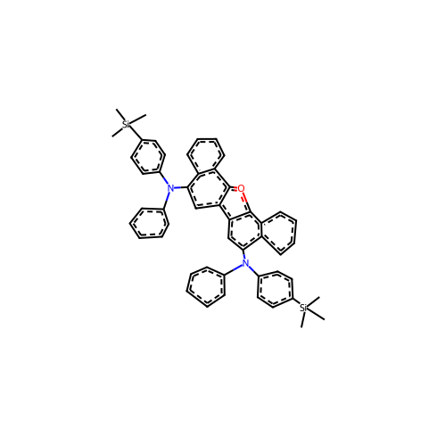 C[Si](C)(C)c1ccc(N(c2ccccc2)c2cc3c4cc(N(c5ccccc5)c5ccc([Si](C)(C)C)cc5)c5ccccc5c4oc3c3ccccc23)cc1